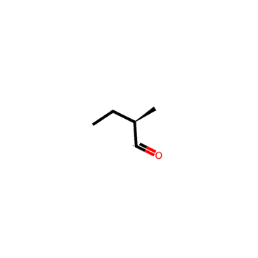 CC[C@@H](C)[C]=O